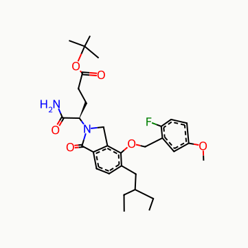 CCC(CC)Cc1ccc2c(c1OCc1cc(OC)ccc1F)CN([C@H](CCC(=O)OC(C)(C)C)C(N)=O)C2=O